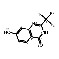 O=c1[nH]c(C(F)(F)F)nc2cc(O)ccc12